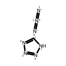 [N-]=[N+]=[N-].c1nnn[nH]1